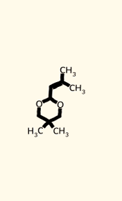 CC(C)=CC1OCC(C)(C)CO1